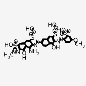 CN=Nc1c(S(=O)(=O)O)cc2cc(SOOO)c(N=Nc3ccc4c(O)c(N=Nc5ccc(OC)cc5S(=O)(=O)O)c(SOOO)cc4c3)c(N)c2c1O